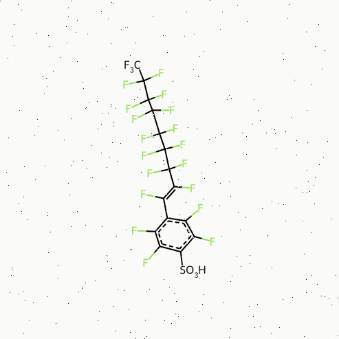 O=S(=O)(O)c1c(F)c(F)c(C(F)=C(F)C(F)(F)C(F)(F)C(F)(F)C(F)(F)C(F)(F)C(F)(F)C(F)(F)F)c(F)c1F